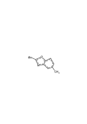 CCC(C)c1nc2cc(C)ccc2o1